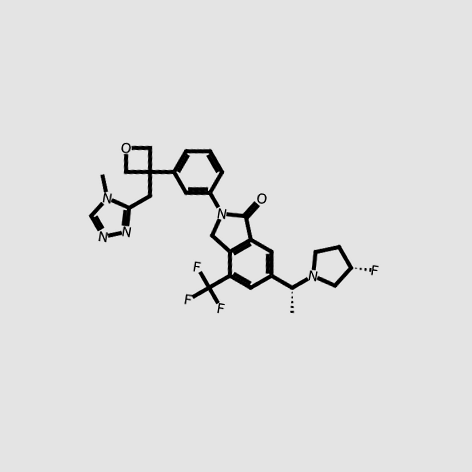 C[C@H](c1cc2c(c(C(F)(F)F)c1)CN(c1cccc(C3(Cc4nncn4C)COC3)c1)C2=O)N1CC[C@H](F)C1